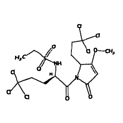 CCS(=O)(=O)N[C@H](CCC(Cl)(Cl)Cl)C(=O)N1C(=O)C=C(OC)C1CCC(Cl)(Cl)Cl